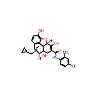 Cc1cc(Cl)ccc1NC(=O)C1=C(O)[C@@H]2Oc3c(O)ccc4c3[C@@]23CCN(CC2CC2)[C@H](C4)[C@]3(O)C1